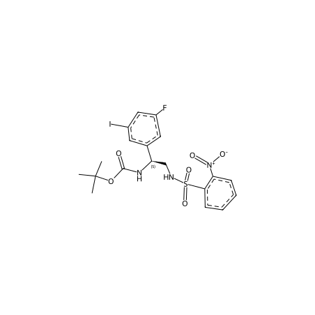 CC(C)(C)OC(=O)N[C@H](CNS(=O)(=O)c1ccccc1[N+](=O)[O-])c1cc(F)cc(I)c1